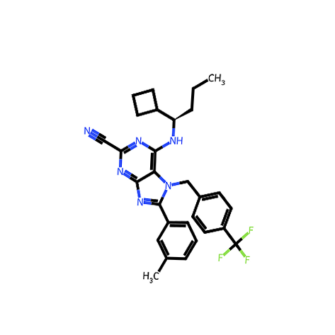 CCC[C@@H](Nc1nc(C#N)nc2nc(-c3cccc(C)c3)n(Cc3ccc(C(F)(F)F)cc3)c12)C1CCC1